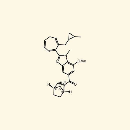 COc1cc(C(=O)N2C[C@H]3CC[C@@H]2[C@@H]3N)cc2nc(C3=CC=CCC=C3CC3CC3C)n(C)c12